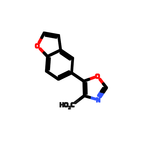 O=C(O)c1ncoc1-c1ccc2occc2c1